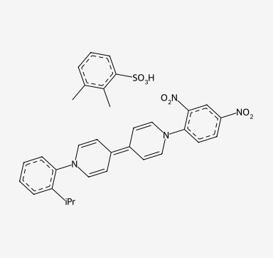 CC(C)c1ccccc1N1C=CC(=C2C=CN(c3ccc([N+](=O)[O-])cc3[N+](=O)[O-])C=C2)C=C1.Cc1cccc(S(=O)(=O)O)c1C